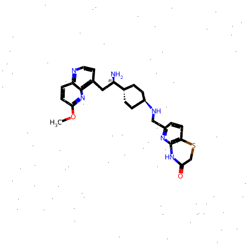 COc1ccc2nccc(C[C@@H](N)[C@H]3CC[C@H](NCc4ccc5c(n4)NC(=O)CS5)CC3)c2n1